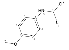 COc1ccc(NC(Cl)Cl)cc1